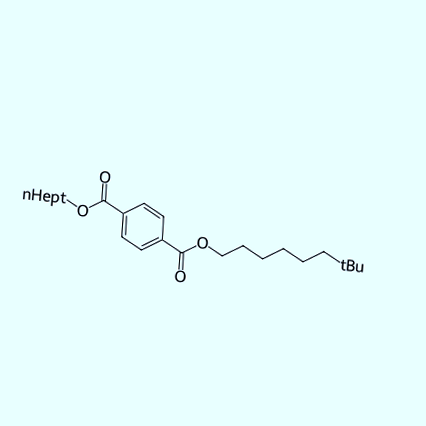 CCCCCCCOC(=O)c1ccc(C(=O)OCCCCCCC(C)(C)C)cc1